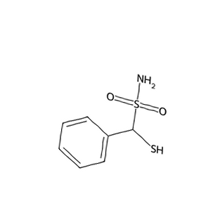 NS(=O)(=O)C(S)c1ccccc1